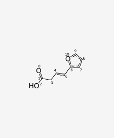 O=C(O)CC=Cc1ccco1